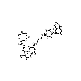 O=C(OCN1C(=O)CCc2ccc(OCCCCN3CCN(c4cccc5sccc45)CC3)cc21)C1CCCCCC1